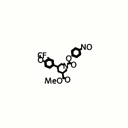 COC(=O)C1CC(c2ccc(OC(F)(F)F)cc2)CN(C(=O)Oc2ccc(N=O)cc2)C1